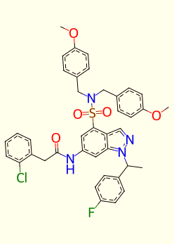 COc1ccc(CN(Cc2ccc(OC)cc2)S(=O)(=O)c2cc(NC(=O)Cc3ccccc3Cl)cc3c2cnn3C(C)c2ccc(F)cc2)cc1